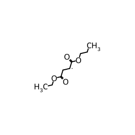 CCCOC(=O)[CH]CC(=O)OCC